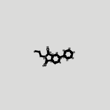 CCCN1C(=O)c2ccc(-c3ccccc3)cc2C1=O